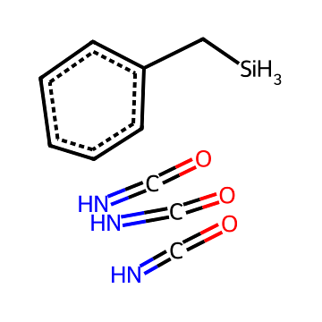 N=C=O.N=C=O.N=C=O.[SiH3]Cc1ccccc1